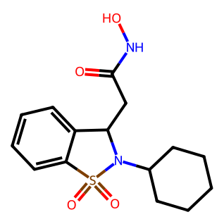 O=C(CC1c2ccccc2S(=O)(=O)N1C1CCCCC1)NO